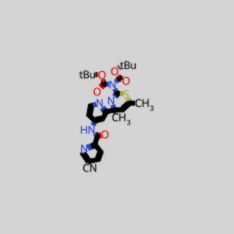 CC1=C[C@@](C)(c2cc(NC(=O)c3ccc(C#N)cn3)ccn2)N=C(N(C(=O)OC(C)(C)C)C(=O)OC(C)(C)C)S1